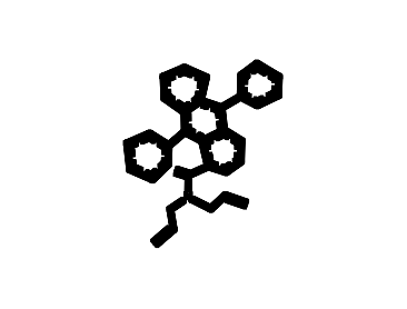 C=CCN(CC=C)C(=C)c1cccc2c(-c3ccccc3)c3ccccc3c(-c3ccccc3)c12